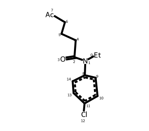 CCN(C(=O)CCCC(C)=O)c1ccc(Cl)cc1